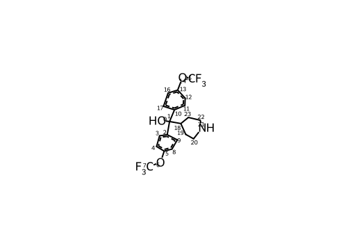 OC(c1ccc(OC(F)(F)F)cc1)(c1ccc(OC(F)(F)F)cc1)C1CCNCC1